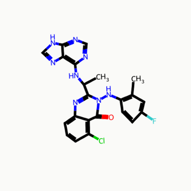 Cc1cc(F)ccc1Nn1c(C(C)Nc2ncnc3[nH]cnc23)nc2cccc(Cl)c2c1=O